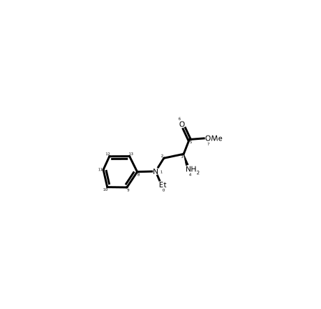 CCN(C[C@H](N)C(=O)OC)c1ccccc1